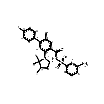 Cc1cc(C(=O)NS(=O)(=O)c2cccc(N)n2)c(N2CCC(C)C2(C)C)nc1-c1ccc(F)cc1